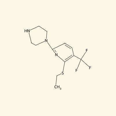 CCSc1nc(N2CCNCC2)ccc1C(F)(F)F